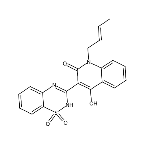 CC=CCn1c(=O)c(C2=Nc3ccccc3S(=O)(=O)N2)c(O)c2ccccc21